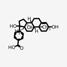 C[C@]12CCC(O)C=C1CC[C@@H]1[C@H]2CC[C@]2(C)C(O)(c3ccc(C(=O)O)cc3)CC[C@@]12O